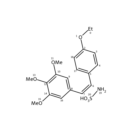 CCOc1ccc(/C=C\c2cc(OC)c(OC)c(OC)c2)cc1.NS(=O)(=O)O